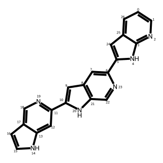 c1cnc2[nH]c(-c3cc4cc(-c5cc6[nH]ccc6cn5)[nH]c4cn3)cc2c1